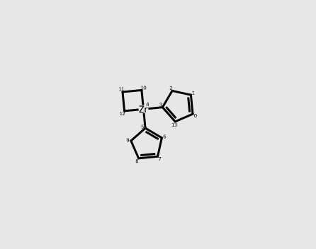 C1=CC[C]([Zr]2([C]3=CC=CC3)[CH2]C[CH2]2)=C1